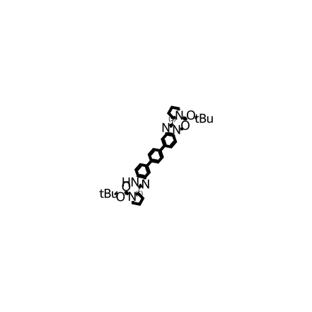 Cn1c([C@@H]2CCCN2C(=O)OC(C)(C)C)nc2cc(-c3ccc(-c4ccc5[nH]c([C@@H]6CCCN6C(=O)OC(C)(C)C)nc5c4)cc3)ccc21